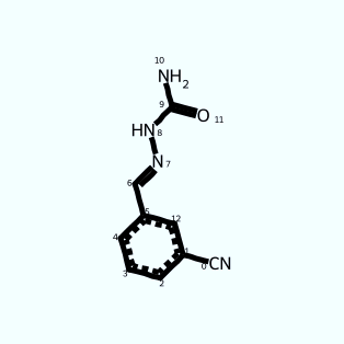 N#Cc1cccc(C=NNC(N)=O)c1